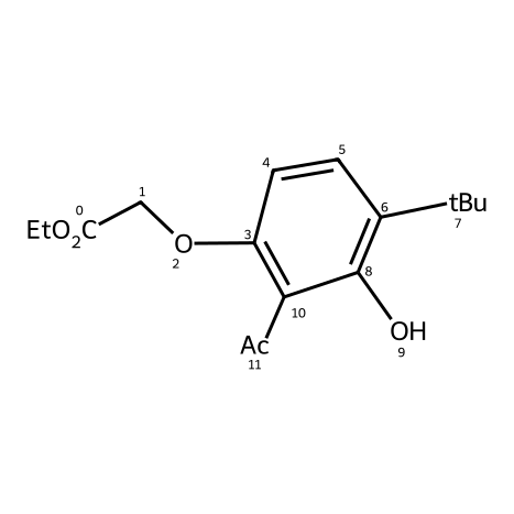 CCOC(=O)COc1ccc(C(C)(C)C)c(O)c1C(C)=O